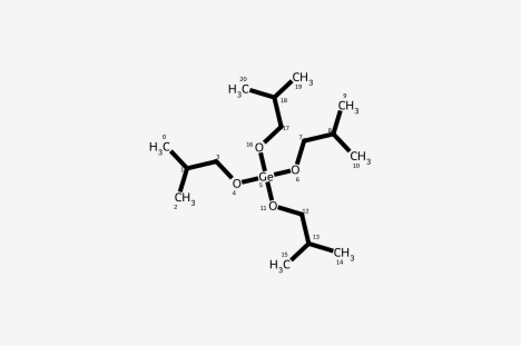 CC(C)C[O][Ge]([O]CC(C)C)([O]CC(C)C)[O]CC(C)C